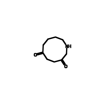 O=C1CCCCNCC(=O)CC1